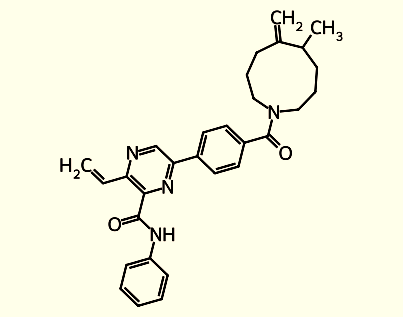 C=Cc1ncc(-c2ccc(C(=O)N3CCCC(=C)C(C)CCC3)cc2)nc1C(=O)Nc1ccccc1